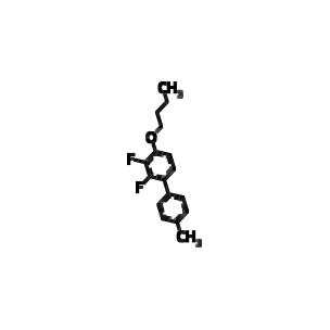 CCCCOc1ccc(-c2ccc(C)cc2)c(F)c1F